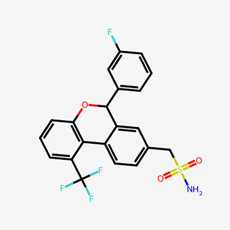 NS(=O)(=O)Cc1ccc2c(c1)C(c1cccc(F)c1)Oc1cccc(C(F)(F)F)c1-2